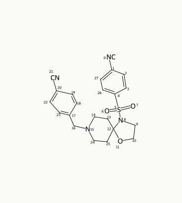 [C-]#[N+]c1ccc(S(=O)(=O)N2CCOC23CCN(Cc2ccc(C#N)cc2)CC3)cc1